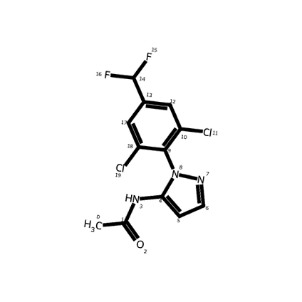 CC(=O)Nc1ccnn1-c1c(Cl)cc(C(F)F)cc1Cl